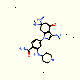 CNc1cn(-c2ccc(C(N)=O)c(NC3CCNCC3)c2)c2c1C(=O)CC(NC)(NC)C2